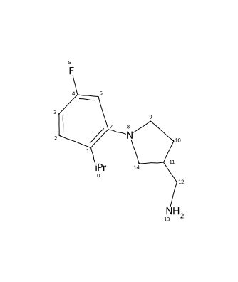 CC(C)c1ccc(F)cc1N1CCC(CN)C1